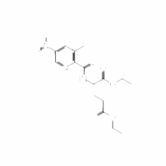 CCOC(=O)CC[C@H](NC(=O)c1ncc([N+](=O)[O-])cc1C)C(=O)OCC